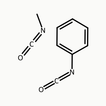 CN=C=O.O=C=Nc1ccccc1